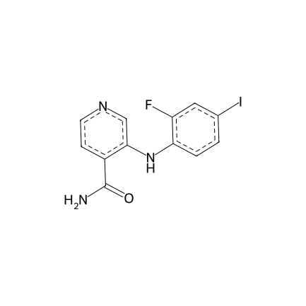 NC(=O)c1ccncc1Nc1ccc(I)cc1F